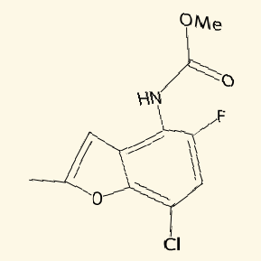 COC(=O)Nc1c(F)cc(Cl)c2oc(C)cc12